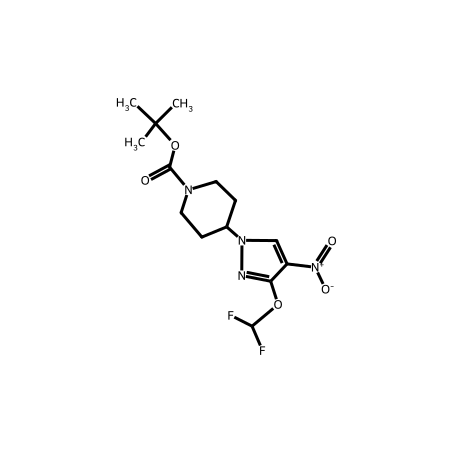 CC(C)(C)OC(=O)N1CCC(n2cc([N+](=O)[O-])c(OC(F)F)n2)CC1